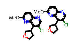 COc1ccc2ncc(Cl)c(C3CCOC3)c2n1.COc1ccc2ncc(Cl)c(C3CCOC3)c2n1